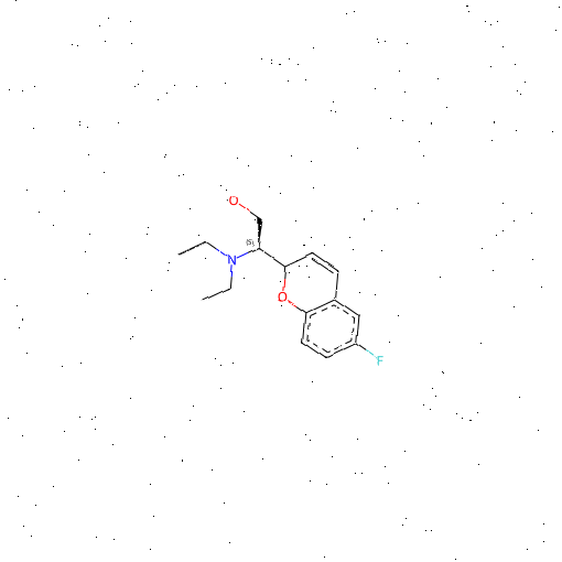 CCN(CC)[C@@H](C[O])C1C=Cc2cc(F)ccc2O1